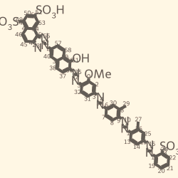 COc1cc(N=Nc2ccc(N=Nc3ccc(N=Nc4ccccc4S(=O)(=O)O)cc3C)c(C)c2)ccc1N=Nc1ccc2cc(-n3nc4ccc5c(S(=O)(=O)O)cc(S(=O)(=O)O)cc5c4n3)ccc2c1O